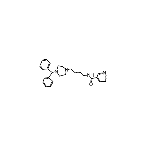 O=C(NCCCCN1CCN(C(c2ccccc2)c2ccccc2)CC1)c1cccnc1